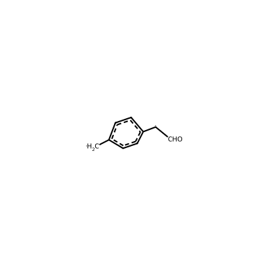 [CH2]c1ccc([CH]C=O)cc1